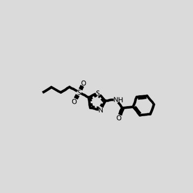 CCCCS(=O)(=O)c1cnc(NC(=O)C2=CCCC=C2)s1